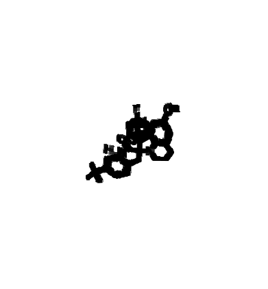 COc1cc2c(c(C(=O)O)c1)N(C(Cc1ccc(C(C)(C)C)cc1)(C(N)=O)c1ccc(F)cc1)CCC2